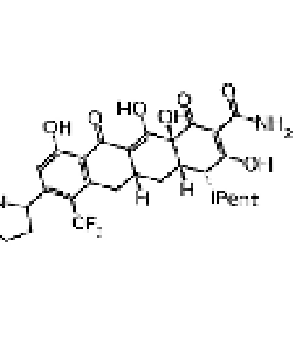 CCC[C@@H](C)C1C(O)=C(C(N)=O)C(=O)[C@@]2(O)C(O)=C3C(=O)c4c(O)cc(C5CCCN5)c(C(F)(F)F)c4C[C@H]3C[C@@H]12